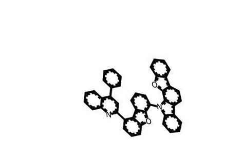 c1ccc(-c2cc(-c3cccc4oc5c(-n6c7ccccc7c7ccc8c9ccccc9oc8c76)cccc5c34)nc3ccccc23)cc1